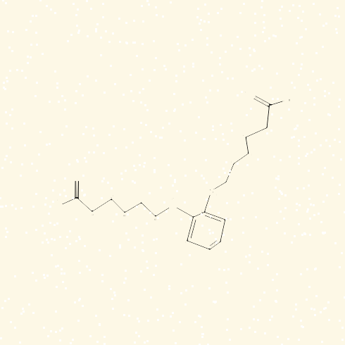 O=C(O)CCCCCNc1ccccc1OCCCCCC(=O)O